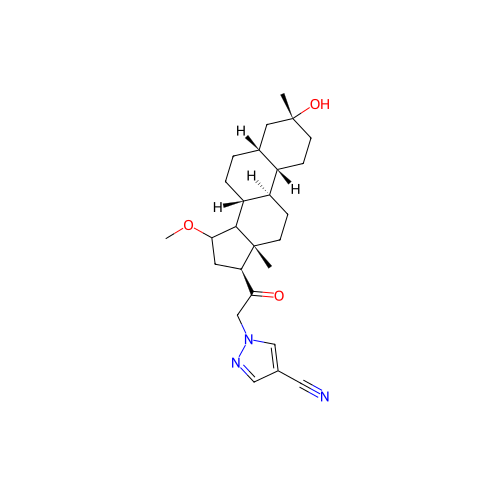 COC1C[C@H](C(=O)Cn2cc(C#N)cn2)[C@@]2(C)CC[C@@H]3[C@H]4CC[C@@](C)(O)C[C@H]4CC[C@H]3C12